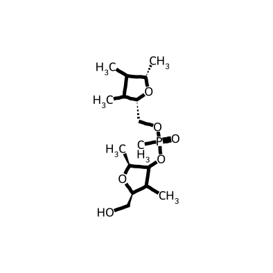 CC1C(C)[C@@H](COP(C)(=O)OC2C(C)[C@@H](CO)O[C@H]2C)O[C@H]1C